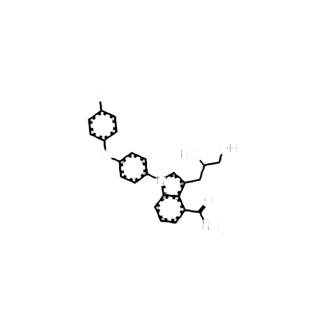 NC(=O)c1cccc2c1c(CC(O)CO)cn2-c1ccc(Oc2ccc(F)cc2)cc1